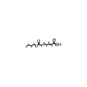 CCCCOC(=O)CSCSCC(=O)O